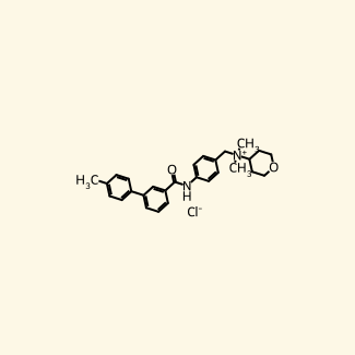 Cc1ccc(-c2cccc(C(=O)Nc3ccc(C[N+](C)(C)C4CCOCC4)cc3)c2)cc1.[Cl-]